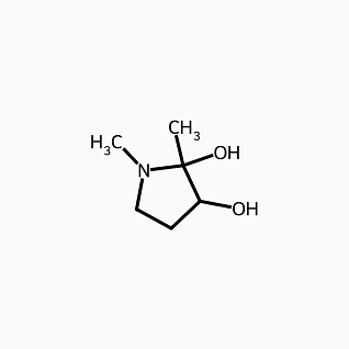 CN1CCC(O)C1(C)O